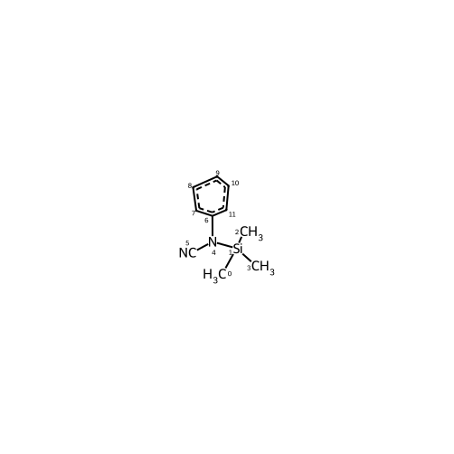 C[Si](C)(C)N(C#N)c1ccccc1